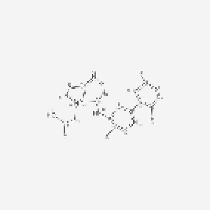 Cc1ccc(F)c(-c2cc(Nc3ccnc4cnn(C[C@@H](C)O)c34)c(C)cn2)n1